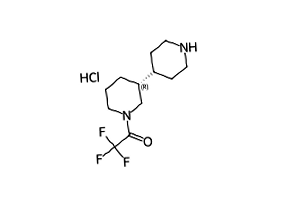 Cl.O=C(N1CCC[C@H](C2CCNCC2)C1)C(F)(F)F